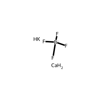 F[B-](F)(F)F.[CaH2].[KH]